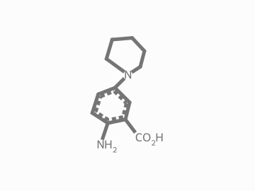 Nc1ccc(N2CCCCC2)cc1C(=O)O